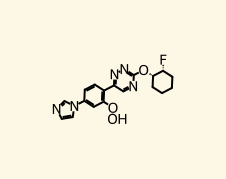 OOc1cc(-n2ccnc2)ccc1-c1cnc(O[C@H]2CCCC[C@H]2F)nn1